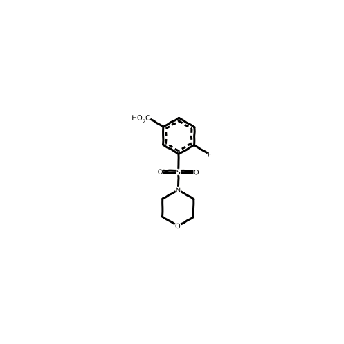 O=C(O)c1ccc(F)c(S(=O)(=O)N2CCOCC2)c1